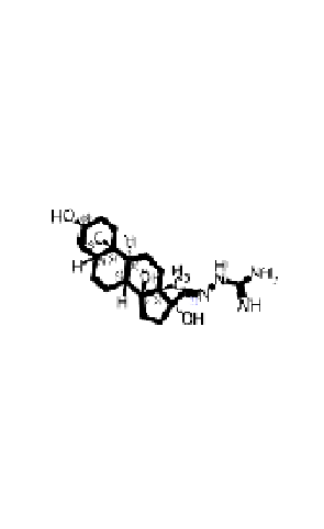 C[C@]12CC[C@H](O)C[C@H]1CC[C@@H]1[C@@H]2CC[C@]2(C)[C@@](O)(/C=N/NC(=N)N)CC[C@]12O